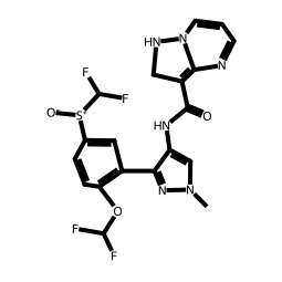 Cn1cc(NC(=O)C2=C3N=CC=CN3NC2)c(-c2cc([S+]([O-])C(F)F)ccc2OC(F)F)n1